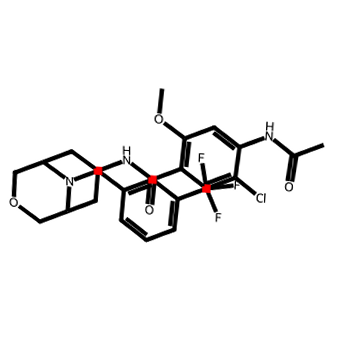 COc1cc(NC(C)=O)c(Cl)cc1C(=O)NC1CC2COCC(C1)N2Cc1cccc(C(F)(F)F)c1